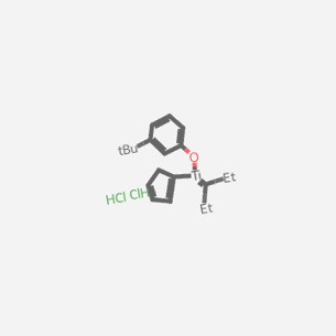 CC[C](CC)=[Ti]([O]c1cccc(C(C)(C)C)c1)[C]1=CC=CC1.Cl.Cl